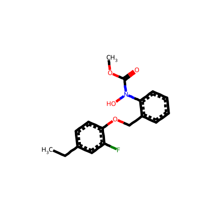 CCc1ccc(OCc2ccccc2N(O)C(=O)OC)c(F)c1